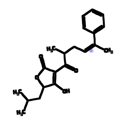 C/C(=C/CC(C)C(=O)C1=C(O)C(CC(C)C)OC1=O)c1ccccc1